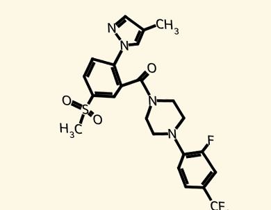 Cc1cnn(-c2ccc(S(C)(=O)=O)cc2C(=O)N2CCN(c3ccc(C(F)(F)F)cc3F)CC2)c1